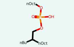 CCCCCCCCOP(=O)(O)OCC(CCCC)CCCCCCCC